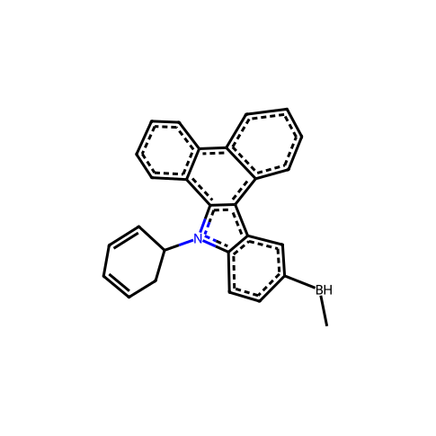 CBc1ccc2c(c1)c1c3ccccc3c3ccccc3c1n2C1C=CC=CC1